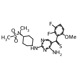 COc1ccc(F)c(F)c1C(=S)c1cnc(N[C@H]2CC[C@H](N(C)S(C)(=O)=O)CC2)nc1N